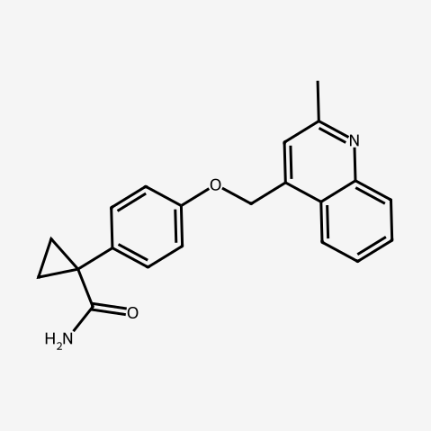 Cc1cc(COc2ccc(C3(C(N)=O)CC3)cc2)c2ccccc2n1